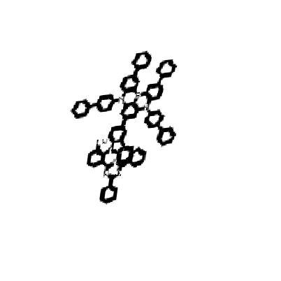 N#Cc1cccc(-c2nc(-c3ccccc3)nc(-c3ccccc3)n2)c1-n1c2ccccc2c2cc(-c3cc4c5c(c3)N(c3ccc(-c6ccccc6)cc3)c3ccc(-c6ccccc6)cc3B5c3cc(-c5ccccc5)ccc3N4c3ccc(-c4ccccc4)cc3)ccc21